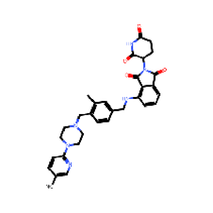 Cc1cc(CNc2cccc3c2C(=O)N(C2CCC(=O)NC2=O)C3=O)ccc1CN1CCN(c2ccc(C#N)cn2)CC1